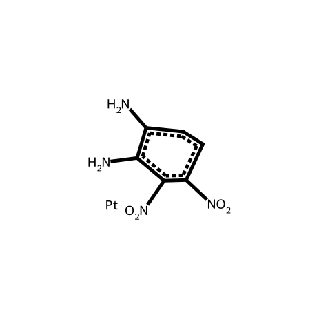 Nc1ccc([N+](=O)[O-])c([N+](=O)[O-])c1N.[Pt]